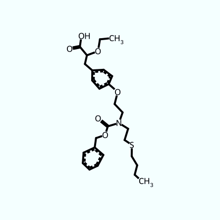 CCCCSCCN(CCOc1ccc(CC(OCC)C(=O)O)cc1)C(=O)OCc1ccccc1